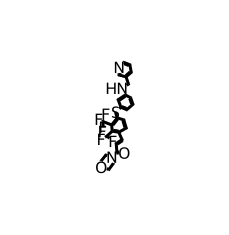 O=C(/C=C/c1ccc(Sc2cccc(NCc3cccnc3)c2)c(C(F)(F)F)c1C(F)(F)F)N1CCOCC1